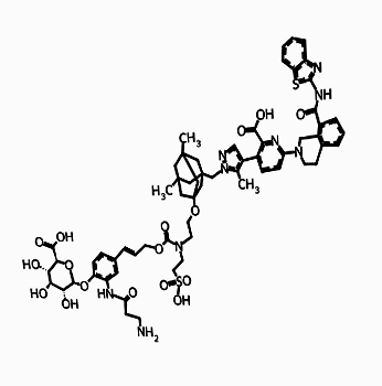 Cc1c(-c2ccc(N3CCc4cccc(C(=O)Nc5nc6ccccc6s5)c4C3)nc2C(=O)O)cnn1CC12CC3(C)CC(C)(C1)CC(OCCN(CCS(=O)(=O)O)C(=O)OCC=Cc1ccc(O[C@@H]4O[C@H](C(=O)O)[C@@H](O)[C@H](O)[C@H]4O)c(NC(=O)CCN)c1)(C3)C2